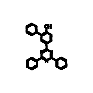 Oc1ccc(-c2nc(-c3ccccc3)nc(-c3ccccc3)n2)cc1-c1ccccc1